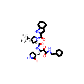 CC(C)[C@@H]1C[C@@H](C(=O)N[C@@H](C[C@@H]2CCNC2=O)C(=O)C(=O)NCc2ccccc2)N(C(=O)c2cc3ccccc3[nH]2)C1